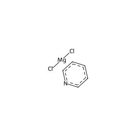 [Cl][Mg][Cl].c1ccncc1